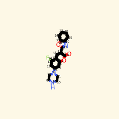 O=c1oc2cc(N3CCNCC3)cc(F)c2cc1-c1nc2ccccc2o1